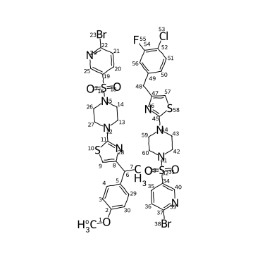 COc1ccc(C(C)c2csc(N3CCN(S(=O)(=O)c4ccc(Br)nc4)CC3)n2)cc1.O=S(=O)(c1ccc(Br)nc1)N1CCN(c2nc(Cc3ccc(Cl)c(F)c3)cs2)CC1